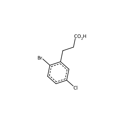 O=C(O)CCc1cc(Cl)ccc1Br